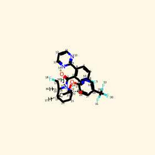 O=C(c1cc(F)ccc1-c1ncccn1)N1[C@H](CF)[C@@H]2CC[C@H]1[C@H](Oc1ccc(C(F)(F)F)cn1)C2